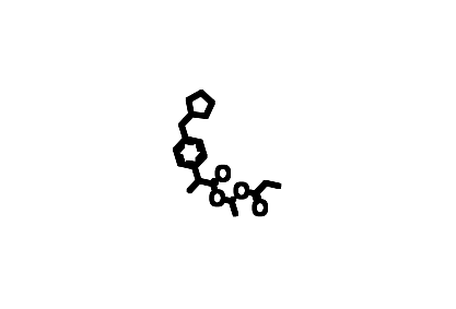 CCC(=O)OC(C)OC(=O)C(C)c1ccc(CC2CCCC2)cc1